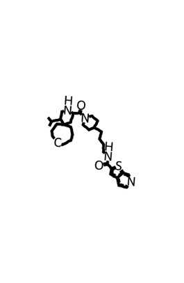 CC(C)C1CNC(C(=O)N2CCC(CCCCNC(=O)c3cc4ccncc4s3)CC2)CC12CCCCCCCC2